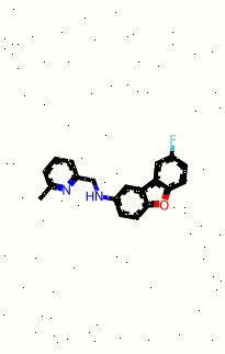 Cc1cccc(CNc2ccc3oc4ccc(F)cc4c3c2)n1